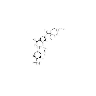 CCN1CCC(CF)(C(=O)c2cc3c(N[C@H](C)c4cccc(C(F)(F)F)c4C)nnc(C)c3s2)CC1